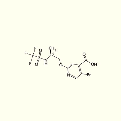 C[C@@H](COc1cc(C(=O)O)c(Br)cn1)NS(=O)(=O)C(F)(F)F